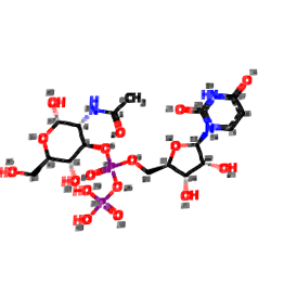 CC(=O)N[C@@H]1[C@@H](OP(=O)(OC[C@H]2O[C@@H](n3ccc(=O)[nH]c3=O)[C@H](O)[C@@H]2O)OP(=O)(O)O)[C@H](O)[C@@H](CO)O[C@@H]1O